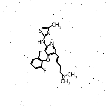 Cc1csc(Nc2cc(Oc3c(F)cccc3F)c(C=CCCN(C)C)cn2)n1